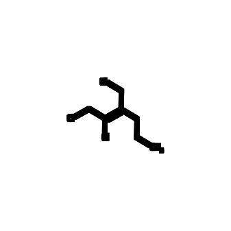 CCCC(CCl)=C(Cl)CCl